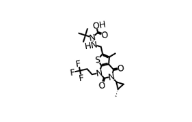 Cc1c(CNN(C(=O)O)C(C)(C)C)sc2c1c(=O)n(C1C[C@@H]1C)c(=O)n2CCC(F)(F)F